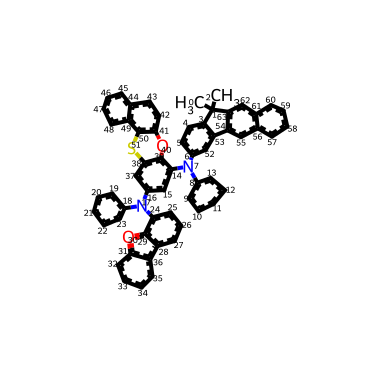 CC1(C)c2ccc(N(c3ccccc3)c3cc(N(c4ccccc4)c4cccc5c4oc4ccccc45)cc4c3Oc3ccc5ccccc5c3S4)cc2-c2cc3ccccc3cc21